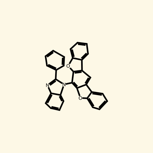 c1ccc(-c2nc3ccccc3n2-c2c3oc4ccccc4c3cc3c2oc2ccccc23)cc1